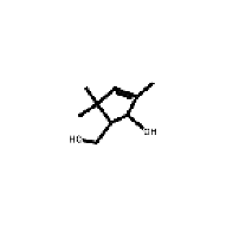 CC1=CC(C)(C)C(CO)C1O